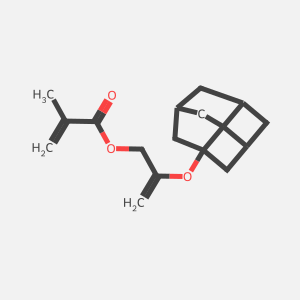 C=C(COC(=O)C(=C)C)OC12CC3CC4CC(C1)C42C3